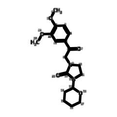 COc1ccc(C(=O)CN2CCN(C3CCCCO3)C2=O)cc1OC